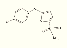 NS(=O)(=O)c1ccc(Sc2ccc(Cl)cc2)s1